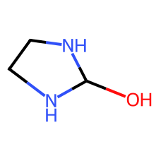 OC1NCCN1